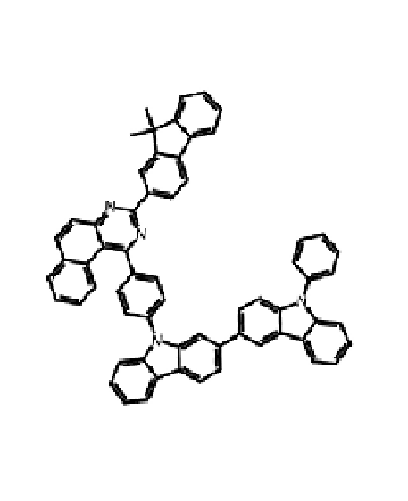 CC1(C)c2ccccc2-c2ccc(-c3nc(-c4ccc(-n5c6ccccc6c6ccc(-c7ccc8c(c7)c7ccccc7n8-c7ccccc7)cc65)cc4)c4c(ccc5ccccc54)n3)cc21